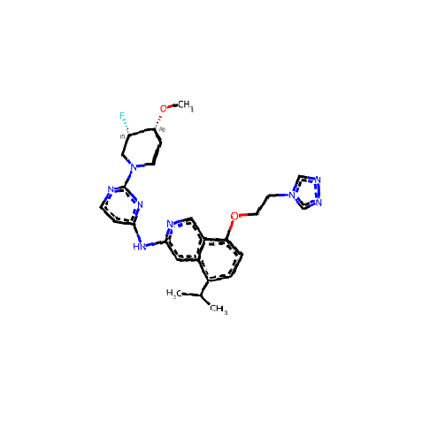 CO[C@@H]1CCN(c2nccc(Nc3cc4c(C(C)C)ccc(OCCn5cnnc5)c4cn3)n2)C[C@@H]1F